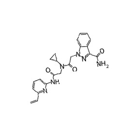 C=Cc1cccc(NC(=O)CN(C(=O)Cn2nc(C(N)=O)c3ccccc32)C2CC2)n1